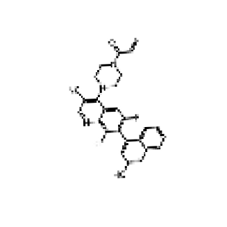 C=CC(=O)N1CCN(c2c(C#N)cnc3c(Cl)c(-c4cc(O)cc5ccccc45)c(F)cc23)CC1